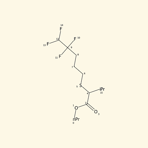 CCCOC(=O)C(SCCCC(F)(F)C(F)F)C(C)C